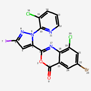 O=c1oc(-c2cc(I)nn2-c2ncccc2Cl)nc2c(Cl)cc(Br)cc12